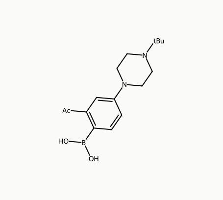 CC(=O)c1cc(N2CCN(C(C)(C)C)CC2)ccc1B(O)O